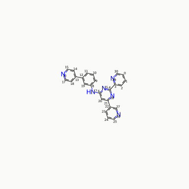 c1ccc(-c2nc(Nc3cccc(-c4ccncc4)c3)cc(-c3cccnc3)n2)nc1